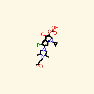 CC(=O)CCN1C(C)CN(c2cc3c(cc2F)c(=O)c(OC(=O)O)cn3C2CC2)CC1C